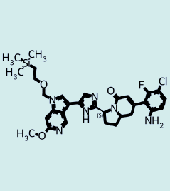 COc1cc2c(cn1)c(-c1cnc([C@@H]3CCC4CC(c5c(N)ccc(Cl)c5F)=CC(=O)N43)[nH]1)cn2COCC[Si](C)(C)C